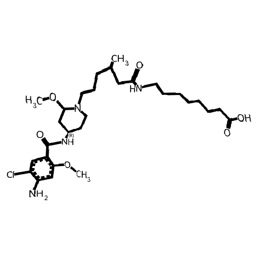 COc1cc(N)c(Cl)cc1C(=O)N[C@@H]1CCN(CCCC(C)CC(=O)NCCCCCCCC(=O)O)C(OC)C1